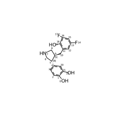 Oc1ccc([C@@H]2CNC[C@H]2Cc2cc(F)cc(F)c2O)cc1O